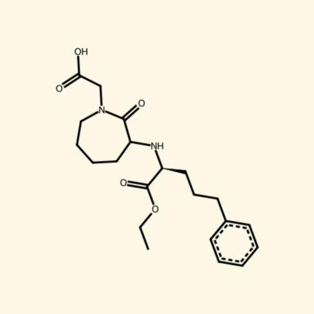 CCOC(=O)[C@H](CCCc1ccccc1)NC1CCCCN(CC(=O)O)C1=O